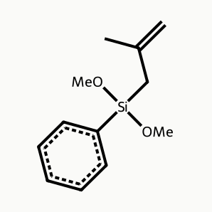 C=C(C)C[Si](OC)(OC)c1ccccc1